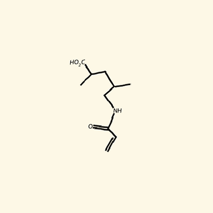 C=CC(=O)NCC(C)CC(C)C(=O)O